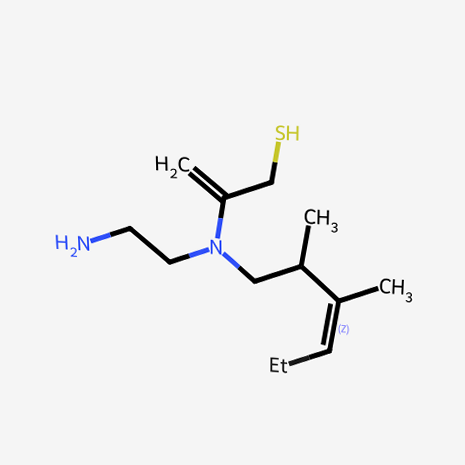 C=C(CS)N(CCN)CC(C)/C(C)=C\CC